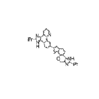 CC(C)c1nc2c([nH]1)-c1ccc3cc(-c4ccc5c(c4)c4ncccc4c4nc(C(C)C)[nH]c54)sc3c1OC2